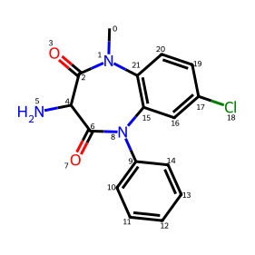 CN1C(=O)C(N)C(=O)N(c2ccccc2)c2cc(Cl)ccc21